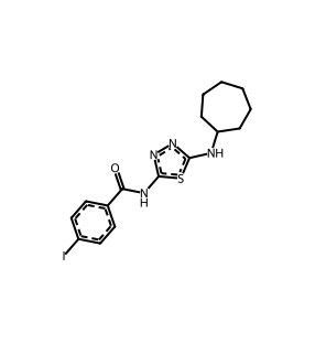 O=C(Nc1nnc(NC2CCCCCC2)s1)c1ccc(I)cc1